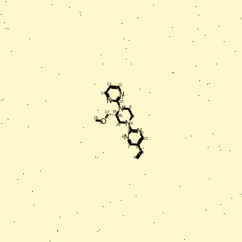 C=Cc1cnc(N2CCN(c3ncccn3)[C@@H](COC)C2)nc1